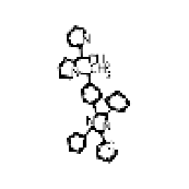 C=C(c1ccc(-c2nc(-c3ccccc3)c(-c3ccccc3)nc2-c2ccccc2)cc1)N1C=CC=C/C1=C(/C)c1ccccn1